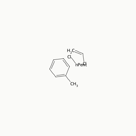 C=CCl.CCCCCCl.Cc1ccccc1